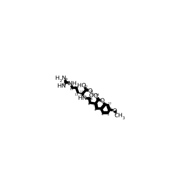 COc1ccc2cc(CC(=O)N[C@@H](CCCNC(=N)N)C(=O)O)c(=O)oc2c1